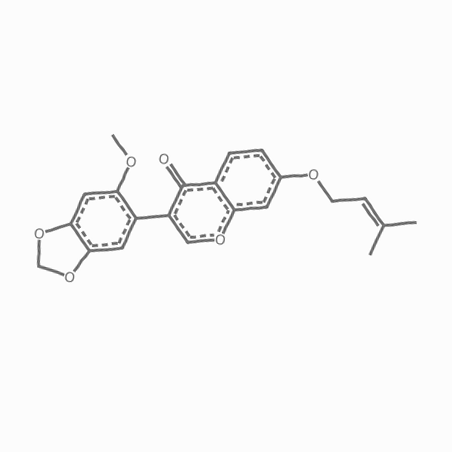 COc1cc2c(cc1-c1coc3cc(OCC=C(C)C)ccc3c1=O)OCO2